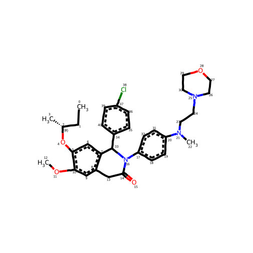 CC[C@@H](C)Oc1cc2c(cc1OC)CC(=O)N(c1ccc(N(C)CCN3CCOCC3)cc1)C2c1ccc(Cl)cc1